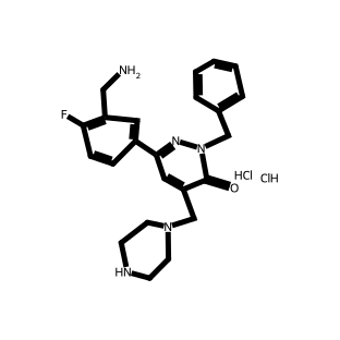 Cl.Cl.NCc1cc(-c2cc(CN3CCNCC3)c(=O)n(Cc3ccccc3)n2)ccc1F